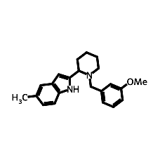 COc1cccc(CN2CCCCC2c2cc3cc(C)ccc3[nH]2)c1